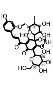 NOC1=C(C2O[C@H](CO)[C@@H](O)[C@H](O)[C@H]2O)C(=O)C(C(=O)/C=C/c2ccc(O)cc2)=C(O)C1(O)C1O[C@H](CO)[C@@H](I)[C@H](O)[C@H]1O